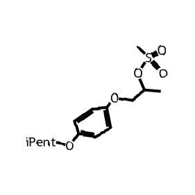 CCCC(C)Oc1ccc(OCC(C)OS(C)(=O)=O)cc1